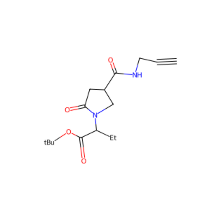 C#CCNC(=O)C1CC(=O)N(C(CC)C(=O)OC(C)(C)C)C1